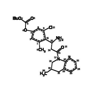 Cc1cc(OC(=O)OCC(C)C)cc(Cl)c1C(N)CC(=O)N1CC(C)Cc2ccccc21